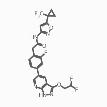 O=C(Cc1ccc(-c2cnc3[nH]nc(OCC(F)F)c3c2)cc1F)Nc1cc(C2(C(F)(F)F)CC2)on1